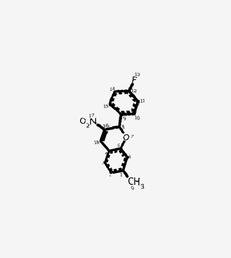 Cc1ccc2c(c1)OC(c1ccc(F)cc1)C([N+](=O)[O-])=C2